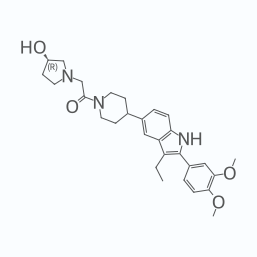 CCc1c(-c2ccc(OC)c(OC)c2)[nH]c2ccc(C3CCN(C(=O)CN4CC[C@@H](O)C4)CC3)cc12